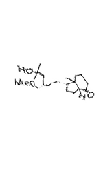 COC[C@@H](CC[C@H]1CC[C@H]2C(=O)CCCC12C)CC(C)(C)O